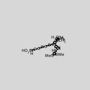 COc1ccc(CNc2cnnc3cc(-c4cc(B5OC(C)(C)C(C)(C)O5)ccc4OCCOCCOCCOCCOCCOCCNC(=O)O)ccc23)c(OC)c1